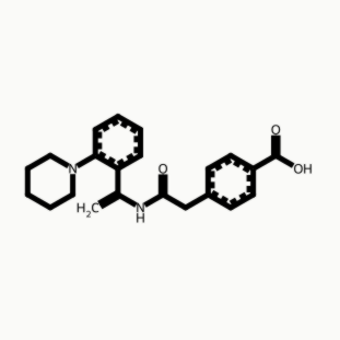 C=C(NC(=O)Cc1ccc(C(=O)O)cc1)c1ccccc1N1CCCCC1